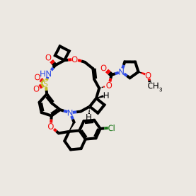 CO[C@@H]1CCN(C(=O)O[C@H]2/C=C/COC3(CCC3)C(=O)NS(=O)(=O)c3ccc4c(c3)N(C[C@@H]3CC[C@H]32)C[C@@]2(CCCc3cc(Cl)ccc32)CO4)C1